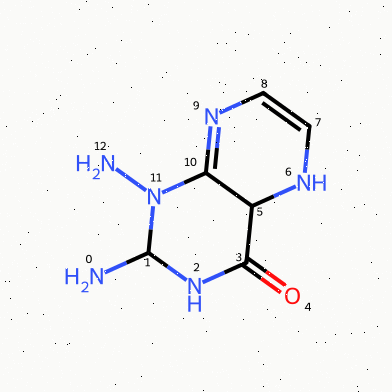 NC1NC(=O)C2NC=CN=C2N1N